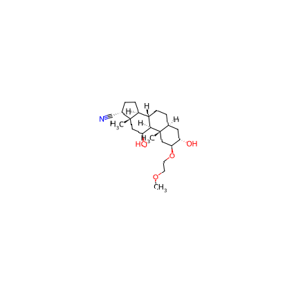 COCCO[C@H]1C[C@@]2(C)[C@@H](CC[C@@H]3[C@@H]2[C@@H](O)C[C@]2(C)[C@H](C#N)CC[C@@H]32)C[C@@H]1O